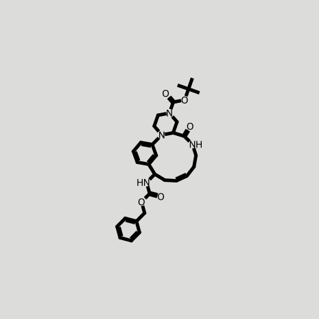 CC(C)(C)OC(=O)N1CCN2c3cccc(c3)C(NC(=O)OCc3ccccc3)CC=CCCNC(=O)C2C1